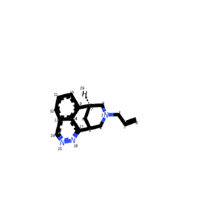 C=CCN1CC2C[C@H](C1)c1cccc3cnnc2c13